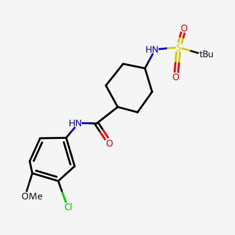 COc1ccc(NC(=O)C2CCC(NS(=O)(=O)C(C)(C)C)CC2)cc1Cl